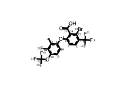 Cc1c(Oc2ccc(C(F)(F)F)c(Br)c2C(=O)O)ccc(OC(F)(F)F)c1F